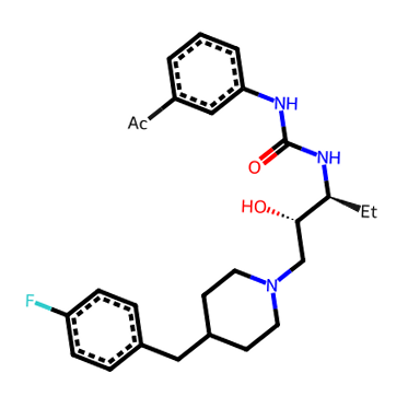 CC[C@H](NC(=O)Nc1cccc(C(C)=O)c1)[C@@H](O)CN1CCC(Cc2ccc(F)cc2)CC1